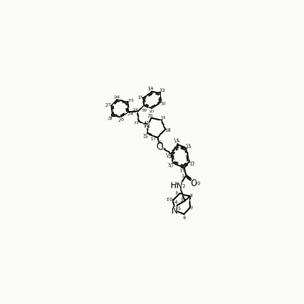 O=C(NC1CN2CCC1CC2)c1cccc(OC2CCCN(CC(c3ccccc3)c3ccccc3)C2)c1